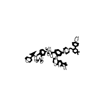 CC1(C)CCC(CN2CCN(c3ccc(C(=O)NS(=O)(=O)c4ccc(NC5(C6CCOCC6)CC5)c([N+](=O)[O-])c4)c(N4CCOc5nc6[nH]ccc6cc54)c3)CC2)=C(c2ccc(Cl)cc2)C1